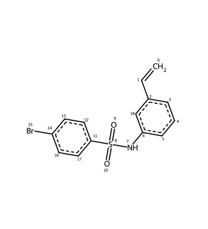 C=Cc1cccc(NS(=O)(=O)c2ccc(Br)cc2)c1